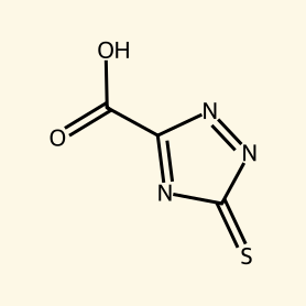 O=C(O)C1=NC(=S)N=N1